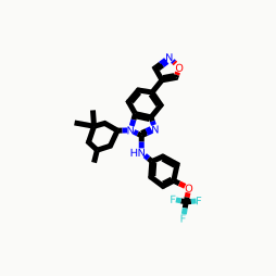 CC1CC(n2c(Nc3ccc(OC(F)(F)F)cc3)nc3cc(-c4cnoc4)ccc32)CC(C)(C)C1